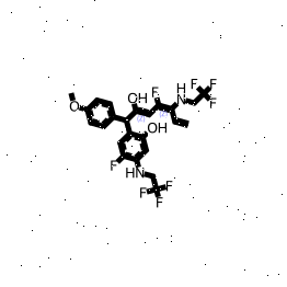 C=C/C(NCC(F)(F)F)=C(F)\C=C(/O)C(c1ccc(OC)cc1)c1cc(F)c(NCC(F)(F)F)cc1O